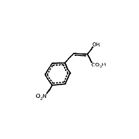 O=C(O)/C(O)=C\c1ccc([N+](=O)[O-])cc1